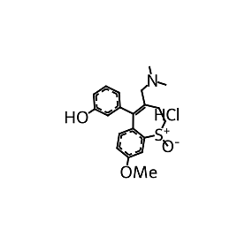 COc1ccc2c(c1)[S+]([O-])CCC(CN(C)C)=C2c1cccc(O)c1.Cl